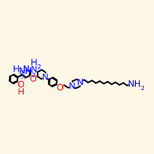 NCCCCCCCCCCCCN1CCN(CCOc2ccc(N3CCCC(OC(/C=C(\N)c4ccccc4O)=C(N)N)C3)cc2)CC1